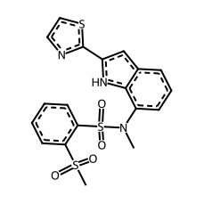 CN(c1cccc2cc(-c3nccs3)[nH]c12)S(=O)(=O)c1ccccc1S(C)(=O)=O